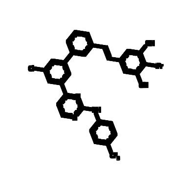 CC(C)c1c(O)cc(/C=C/c2cccc(-c3cc(Cl)cc(-c4ccnc(Nc5ccc(C(F)(F)F)cc5)n4)c3)c2)cc1O